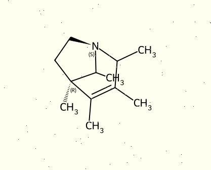 CC1=C(C)[C@@]2(C)CC[N@@](C1C)C2C